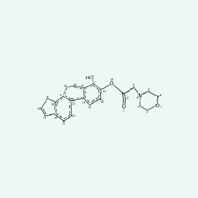 Cl.O=C(CN1CCOCC1)Oc1ccc2c(ccc3c4c(ccc32)C=CC4)c1